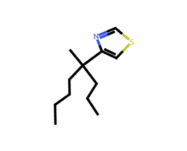 CCCCC(C)(CCC)c1cscn1